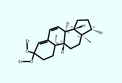 CCOC1(OCC)C=C2C=C[C@H]3[C@@H]4CC[C@H](C(C)=O)[C@@]4(C)CC[C@@H]3[C@@]2(C)CC1